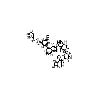 O=C(Nc1cncc(-c2ccc3[nH]nc(-c4cc5c(-c6cc(F)cc(OCCN7CCCC7)c6)cncc5[nH]4)c3c2)c1)C1CCC1